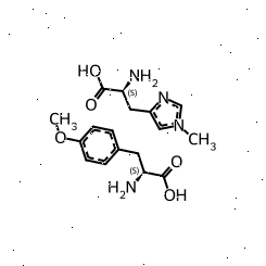 COc1ccc(C[C@H](N)C(=O)O)cc1.Cn1cnc(C[C@H](N)C(=O)O)c1